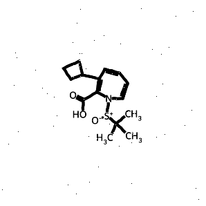 CC(C)(C)[S@+]([O-])N1C=CC=CC(C2CCC2)=C1C(=O)O